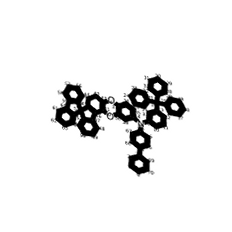 c1ccc(-c2ccc(N(c3cccc(C(c4ccccc4)(c4ccccc4)c4ccccc4)c3)c3ccc4c(c3)OC3=C(CCC5=C3c3ccccc3C53c5ccccc5-c5ccccc53)O4)cc2)cc1